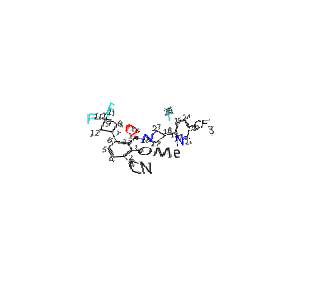 COc1c(C#N)ccc(C2CC(F)(F)C2)c1C(=O)N1CC(c2ncc(C(F)(F)F)cc2F)C1